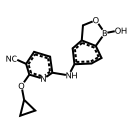 N#Cc1ccc(Nc2ccc3c(c2)COB3O)nc1OC1CC1